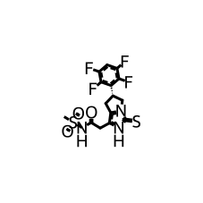 CS(=O)(=O)NC(=O)Cc1[nH]c(=S)n2c1C[C@H](c1c(F)c(F)cc(F)c1F)C2